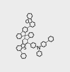 C1=c2c(sc3c(-c4ccccc4)cccc23)=C(c2ccc(N(c3ccccc3)c3ccc(-c4ccccc4)cc3)cc2)C2c3ccccc3C3(c4ccccc4-c4ccc(-c5cccc6c5oc5ccccc56)cc43)C12